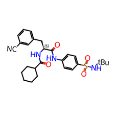 CC(C)(C)NS(=O)(=O)c1ccc(NC(=O)[C@H](Cc2cccc(C#N)c2)NC(=O)C2CCCCC2)cc1